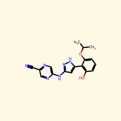 CC(C)Oc1cccc(O)c1-c1cc(Nc2cnc(C#N)cn2)n[nH]1